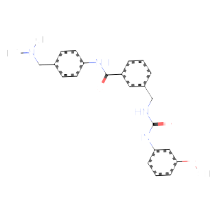 COc1cccc(NC(=O)NCc2cccc(C(=O)Nc3ccc(CN(C)C)cc3)c2)c1